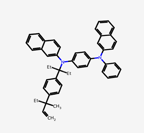 C=CC(C)(CC)c1ccc(C(CC)(CC)N(c2ccc(N(c3ccccc3)c3ccc4ccccc4c3)cc2)c2ccc3ccccc3c2)cc1